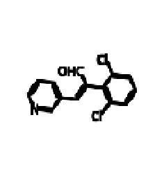 O=C/C(=C\c1cccnc1)c1c(Cl)cccc1Cl